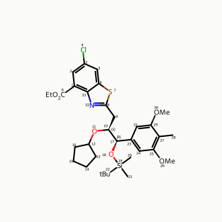 CCOC(=O)c1cc(Cl)cc2sc(C[C@H](OC3CCCC3)[C@H](O[Si](C)(C)C(C)(C)C)c3cc(OC)c(C)c(OC)c3)nc12